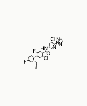 C#CCc1cc(F)ccc1-c1cc(Cl)c(C(=O)Nc2cnc(-n3nccn3)c(Cl)c2)cc1F